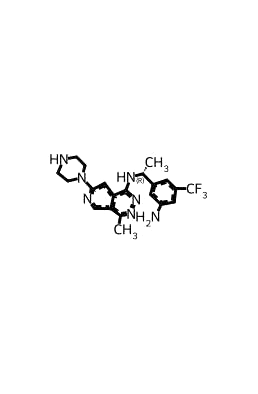 Cc1nnc(N[C@H](C)c2cc(N)cc(C(F)(F)F)c2)c2cc(N3CCNCC3)ncc12